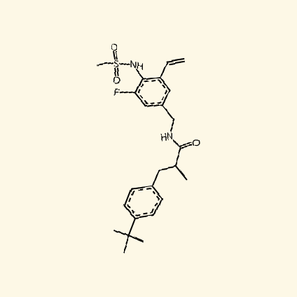 C=Cc1cc(CNC(=O)C(C)Cc2ccc(C(C)(C)C)cc2)cc(F)c1NS(C)(=O)=O